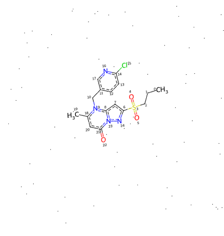 CCCS(=O)(=O)c1cc2n(Cc3ccc(Cl)nc3)c(C)cc(=O)n2n1